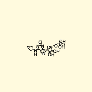 O=P(O)(O)COC[C@H]1O[C@@H](n2ncc3c(NC4CC5CC5C4)nc(Cl)nc32)[C@H](O)[C@@H]1O